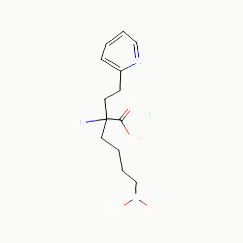 Cl.Cl.NC(CCCCB(O)O)(CCc1ccccn1)C(=O)O